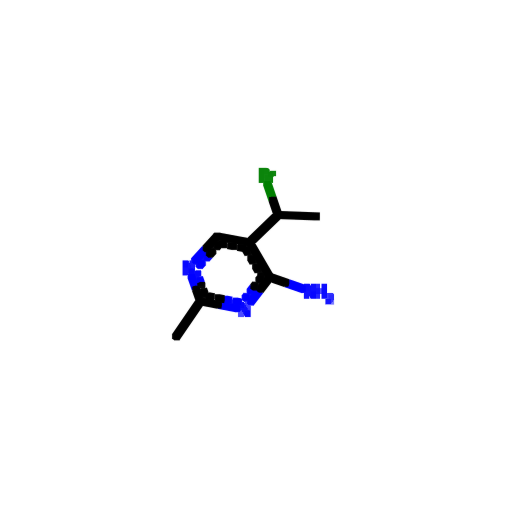 Cc1ncc(C(C)Br)c(N)n1